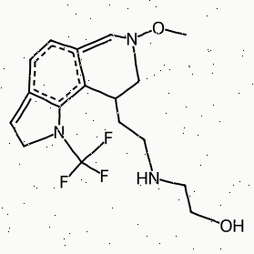 CON1C=c2ccc3c(c2C(CCNCCO)C1)N(C(F)(F)F)CC=3